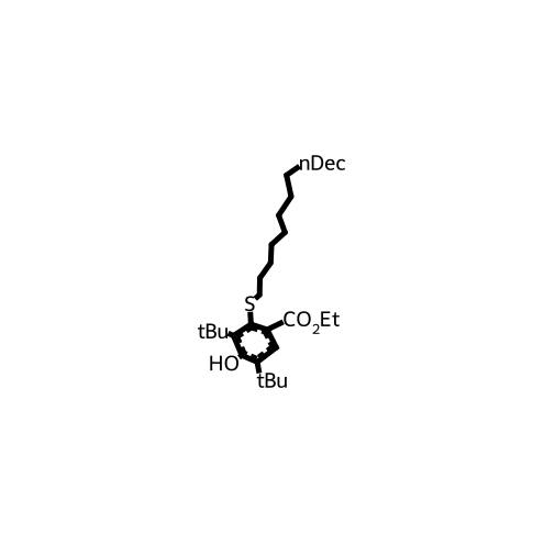 CCCCCCCCCCCCCCCCCCSc1c(C(=O)OCC)cc(C(C)(C)C)c(O)c1C(C)(C)C